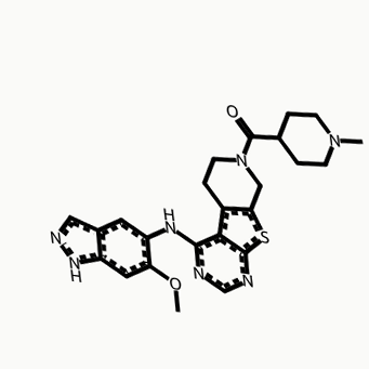 COc1cc2[nH]ncc2cc1Nc1ncnc2sc3c(c12)CCN(C(=O)C1CCN(C)CC1)C3